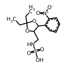 CCC1(CC)OC(CNS(=O)(=O)O)C(c2ccccc2[N+](=O)[O-])O1